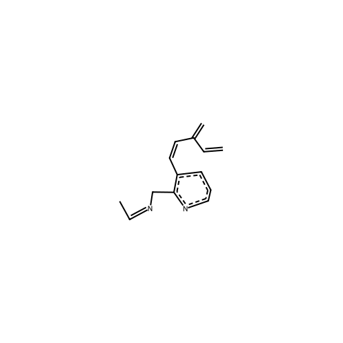 C=CC(=C)/C=C\c1cccnc1C/N=C\C